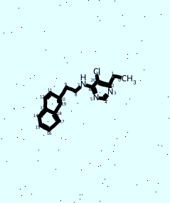 CCc1ncnc(NCCc2ccc3ccccc3c2)c1Cl